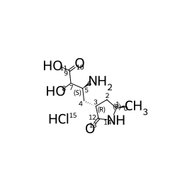 C[C@@H]1C[C@@H](C[C@H](N)C(O)C(=O)O)C(=O)N1.Cl